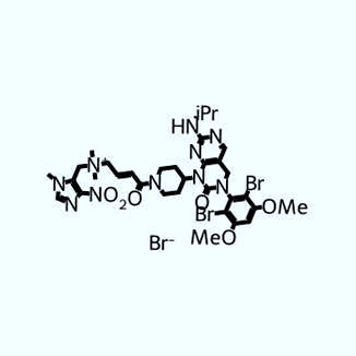 COc1cc(OC)c(Br)c(N2Cc3cnc(NC(C)C)nc3N(C3CCN(C(=O)/C=C/C[N+](C)(C)Cc4c([N+](=O)[O-])ncn4C)CC3)C2=O)c1Br.[Br-]